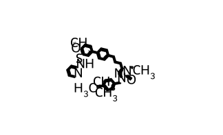 CCn1c(CCCc2ccc(-c3ccc(OC)c(SNc4ccccn4)c3)cc2)nn(Cc2ccc(C(C)(C)C)cc2)c1=O